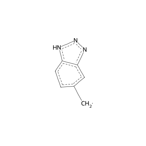 [CH2]c1ccc2[nH]nnc2c1